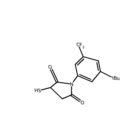 CC(C)(C)c1cc(N2C(=O)CC(S)C2=O)cc(C(F)(F)F)c1